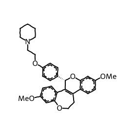 COc1ccc2c(c1)O[C@@H](c1ccc(OCCN3CCCCC3)cc1)C1=C2CCOc2cc(OC)ccc21